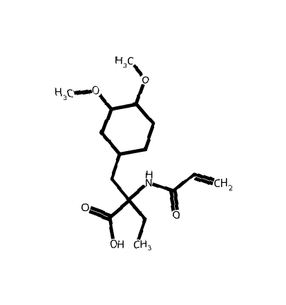 C=CC(=O)NC(CC)(CC1CCC(OC)C(OC)C1)C(=O)O